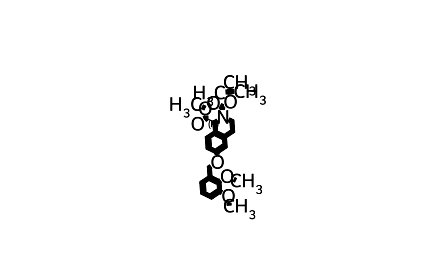 COC(=O)[C@H]1c2ccc(OCc3cccc(OC)c3OC)cc2CCN1C(=O)OC(C)(C)C